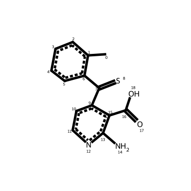 Cc1ccccc1C(=S)c1ccnc(N)c1C(=O)O